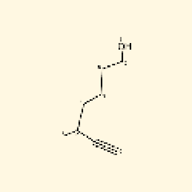 C#CC(C)CCCCO